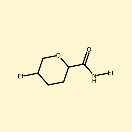 CCNC(=O)C1CCC(CC)CO1